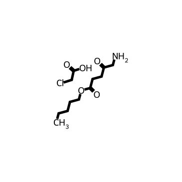 CCCCCOC(=O)CCC(=O)CN.O=C(O)CCl